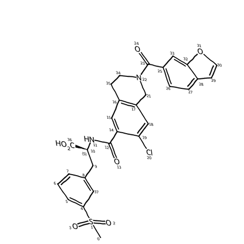 CS(=O)(=O)c1cccc(C[C@H](NC(=O)c2cc3c(cc2Cl)CN(C(=O)c2ccc4ccoc4c2)CC3)C(=O)O)c1